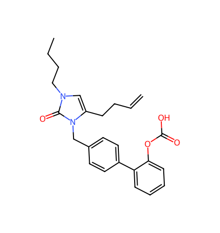 C=CCCc1cn(CCCC)c(=O)n1Cc1ccc(-c2ccccc2OC(=O)O)cc1